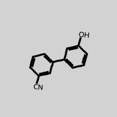 N#Cc1cccc(-c2cccc(O)c2)c1